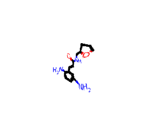 Nc1ccc(N)c(C=CC(=O)NCC2CCCO2)c1